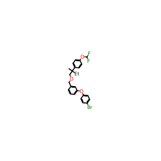 CCC(C)(COCc1cccc(Oc2ccc(Br)cc2)c1)c1ccc(OC(F)F)cc1